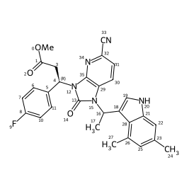 COC(=O)C[C@H](c1ccc(F)cc1)n1c(=O)n(C(C)c2c[nH]c3cc(C)cc(C)c23)c2ccc(C#N)nc21